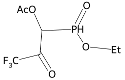 CCO[PH](=O)C(OC(C)=O)C(=O)C(F)(F)F